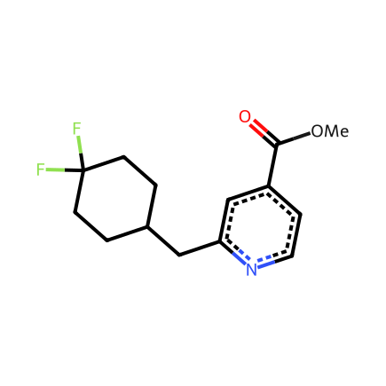 COC(=O)c1ccnc(CC2CCC(F)(F)CC2)c1